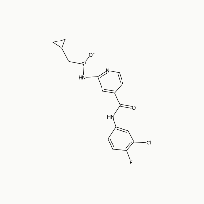 O=C(Nc1ccc(F)c(Cl)c1)c1ccnc(N[S+]([O-])CC2CC2)c1